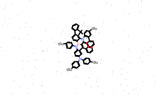 CC(C)(C)c1ccc(N2B3c4ccc5c(c4N(c4ccc(C(C)(C)C)cc4-c4ccccc4)c4cc6ccccc6c(c43)-c3cc(N(c4ccc(C(C)(C)C)cc4)c4ccc(C(C)(C)C)cc4)ccc32)C(C)(C)c2ccccc2-5)cc1